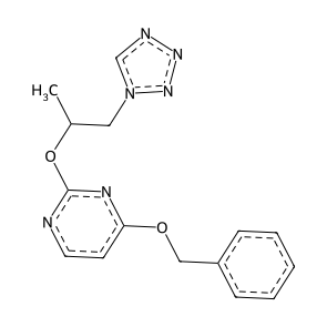 CC(Cn1cnnn1)Oc1nccc(OCc2ccccc2)n1